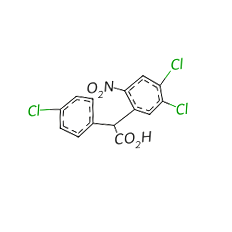 O=C(O)C(c1ccc(Cl)cc1)c1cc(Cl)c(Cl)cc1[N+](=O)[O-]